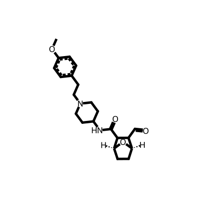 COc1ccc(CCN2CCC(NC(=O)C3C(C=O)[C@H]4CC[C@@H]3O4)CC2)cc1